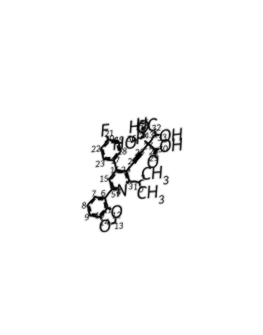 CC(C)c1nc(-c2cccc3c2OCO3)cc(-c2ccc(F)cc2)c1C#CC(C(=O)O)(C(C)O)[PH](=O)O